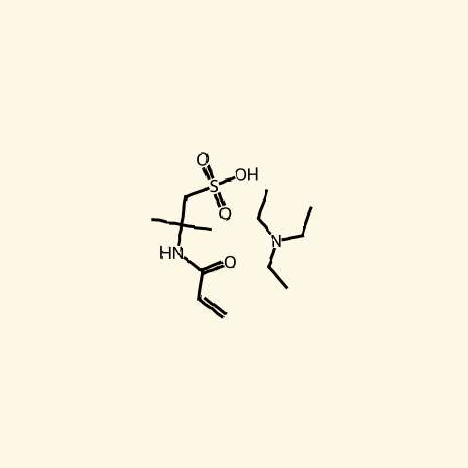 C=CC(=O)NC(C)(C)CS(=O)(=O)O.CCN(CC)CC